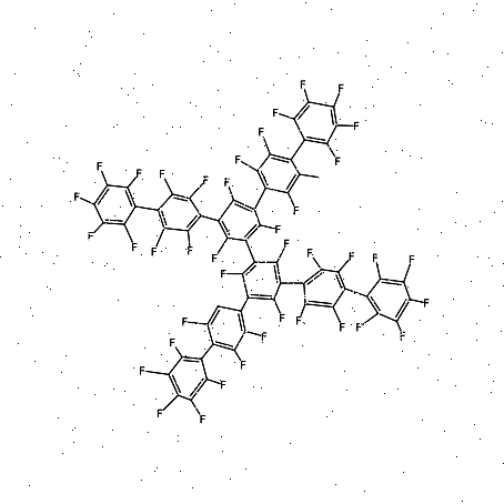 Cc1c(F)c(-c2c(F)c(-c3c(F)c(F)c(-c4c(F)c(F)c(F)c(F)c4F)c(F)c3F)c(F)c(-c3c(F)c(-c4cc(F)c(-c5c(F)c(F)c(F)c(F)c5F)c(F)c4F)c(F)c(-c4c(F)c(F)c(-c5c(F)c(F)c(F)c(F)c5F)c(F)c4F)c3F)c2F)c(F)c(F)c1-c1c(F)c(F)c(F)c(F)c1F